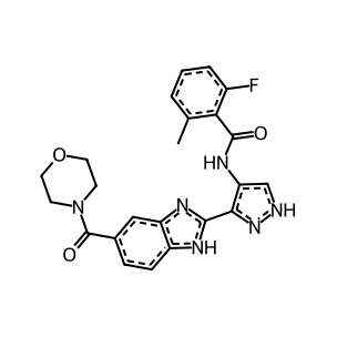 Cc1cccc(F)c1C(=O)Nc1c[nH]nc1-c1nc2cc(C(=O)N3CCOCC3)ccc2[nH]1